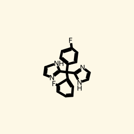 Fc1ccc(C(c2ncc[nH]2)(c2ncc[nH]2)c2ccccc2F)cc1